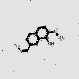 [2H]/N=C\c1ccc2ccc(N=C)c(O)c2c1